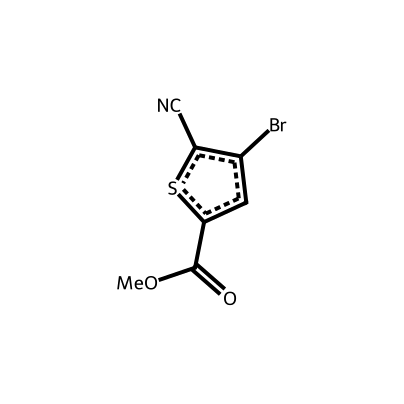 COC(=O)c1cc(Br)c(C#N)s1